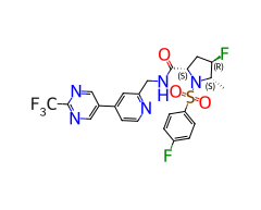 C[C@H]1[C@H](F)C[C@@H](C(=O)NCc2cc(-c3cnc(C(F)(F)F)nc3)ccn2)N1S(=O)(=O)c1ccc(F)cc1